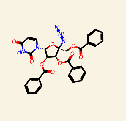 [N-]=[N+]=N[C@]1(COC(=O)c2ccccc2)O[C@@H](n2ccc(=O)[nH]c2=O)[C@H](OC(=O)c2ccccc2)[C@@H]1OC(=O)c1ccccc1